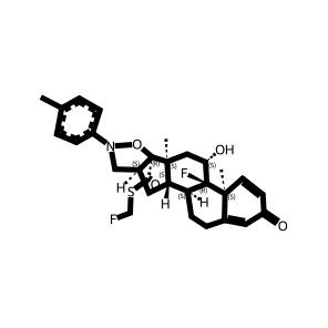 Cc1ccc(N2C[C@@H]3C[C@H]4[C@@H]5CCC6=CC(=O)C=C[C@]6(C)[C@@]5(F)[C@@H](O)C[C@]4(C)[C@]3(C(=O)SCF)O2)cc1